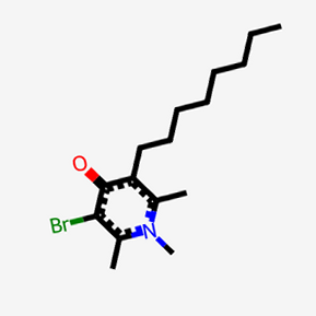 CCCCCCCCc1c(C)n(C)c(C)c(Br)c1=O